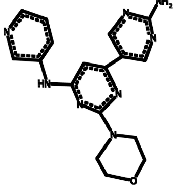 Nc1ncc(-c2cc(Nc3cccnc3)nc(N3CCOCC3)n2)cn1